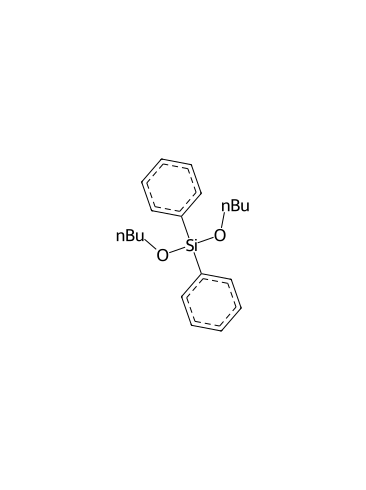 CCCCO[Si](OCCCC)(c1ccccc1)c1ccccc1